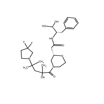 CC(C#N)(CC(C)(C)N1CCC(F)(F)C1)C(=O)N1CCO[C@@H](CC(=O)N[C@@H](Cc2ccccc2)B(O)O)C1